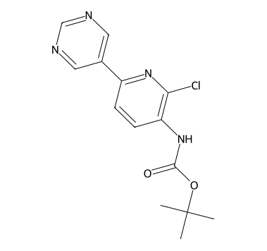 CC(C)(C)OC(=O)Nc1ccc(-c2cncnc2)nc1Cl